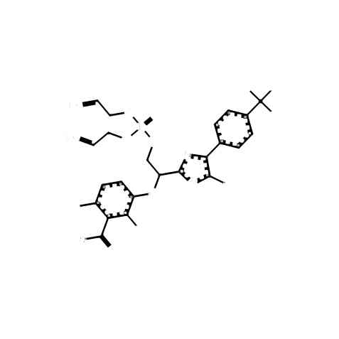 C=CCOP(=O)(OCC=C)OCC(Oc1ccc(F)c(C(N)=O)c1F)c1nc(-c2ccc(C(F)(F)F)cc2)c(Br)o1